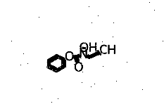 C#CCN(O)C(=O)Oc1ccccc1